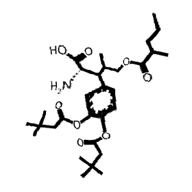 CCCC(C)C(=O)OCC(C)C(c1ccc(OC(=O)CC(C)(C)C)c(OC(=O)CC(C)(C)C)c1)[C@H](N)C(=O)O